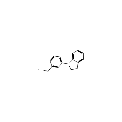 N#CCc1cccc(N2CCc3ccccc32)c1